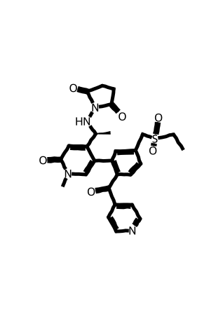 CCS(=O)(=O)Cc1ccc(C(=O)c2ccncc2)c(-c2cn(C)c(=O)cc2[C@H](C)NN2C(=O)CCC2=O)c1